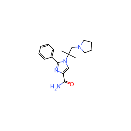 CC(C)(CN1CCCC1)n1cc(C(N)=O)nc1-c1ccccc1